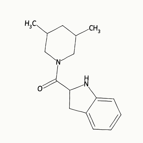 CC1CC(C)CN(C(=O)C2Cc3ccccc3N2)C1